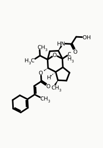 C/C(=C\C(=O)O[C@H]1[C@H]2C(CC[C@H]2C)C2(C)OC1(C(C)C)C[C@H]2NC(=O)CO)C1=CC=CCC1